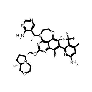 Cc1cc(N)nc(-c2c(Cl)c3c4c(nc(OC[C@H]5CC[C@@H]6COCCN65)nc4c2F)N([C@H](C)c2cncnc2N)CCO3)c1C(F)(F)F